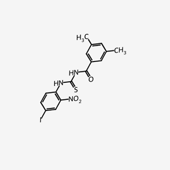 Cc1cc(C)cc(C(=O)NC(=S)Nc2ccc(I)cc2[N+](=O)[O-])c1